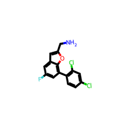 NCc1cc2cc(F)cc(-c3ccc(Cl)cc3Cl)c2o1